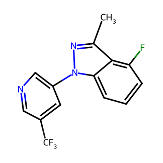 Cc1nn(-c2cncc(C(F)(F)F)c2)c2cccc(F)c12